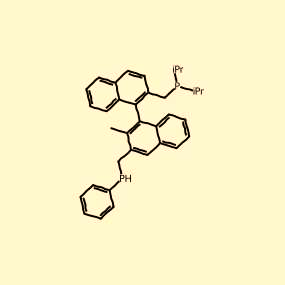 Cc1c(CPc2ccccc2)cc2ccccc2c1-c1c(CP(C(C)C)C(C)C)ccc2ccccc12